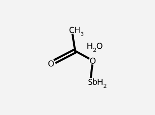 CC(=O)[O][SbH2].O